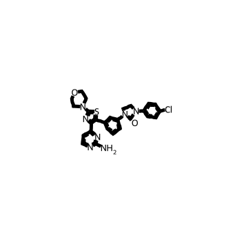 Nc1nccc(-c2nc(N3CCOCC3)sc2-c2cccc(N3CCN(c4ccc(Cl)cc4)C3=O)c2)n1